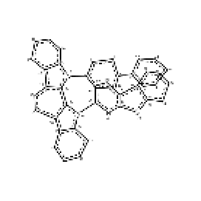 c1ccc(-c2ccc(-n3c4ccccc4c4ccc5c6ccccc6n(-c6ccc7c(n6)sc6ccccc67)c5c43)cc2)cc1